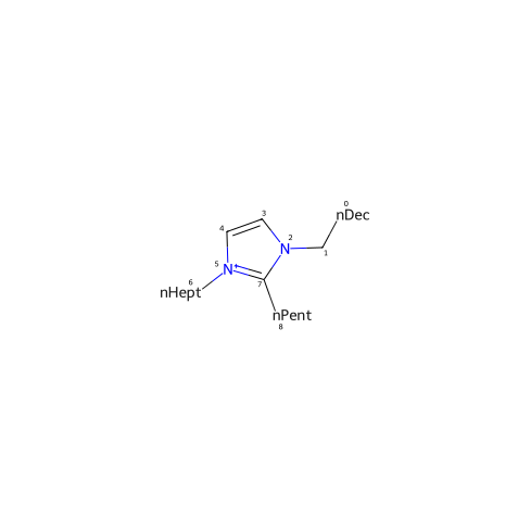 CCCCCCCCCCCn1cc[n+](CCCCCCC)c1CCCCC